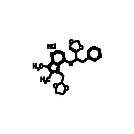 Cc1c(C)n(CC2OCCO2)c2c(OC(Cc3ccccc3)C3=COCO3)ccnc12.Cl